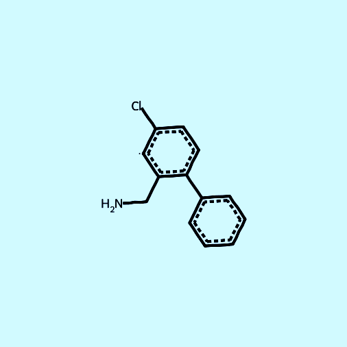 NCc1[c]c(Cl)ccc1-c1ccccc1